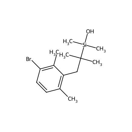 Cc1ccc(Br)c(C)c1CC(C)(C)[Si](C)(C)O